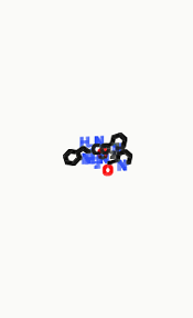 NC(=O)c1ccccn1.NC(=O)c1ccccn1.O=C(O)c1cc2ccccc2[nH]1